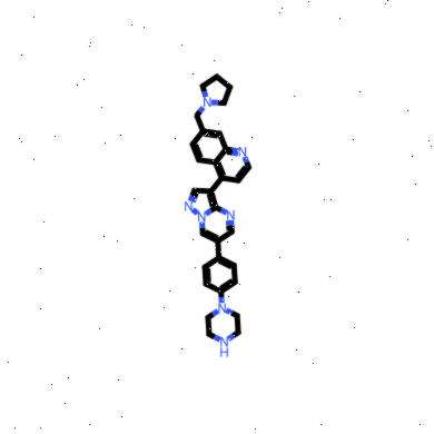 c1cc(-c2cnn3cc(-c4ccc(N5CCNCC5)cc4)cnc23)c2ccc(CN3CCCC3)cc2n1